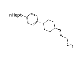 CCCCCCCc1ccc([C@H]2CC[C@H](C=CCC(F)(F)F)CC2)cc1